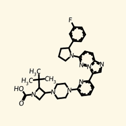 CC(C)(C)C1C(N2CCN(c3cccc(-c4cnc5ccc(N6CCCC6c6cccc(F)c6)nn45)n3)CC2)CN1C(=O)O